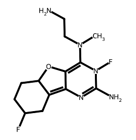 CN(CCN)C1=C2OC3CCC(F)CC3=C2N=C(N)N1F